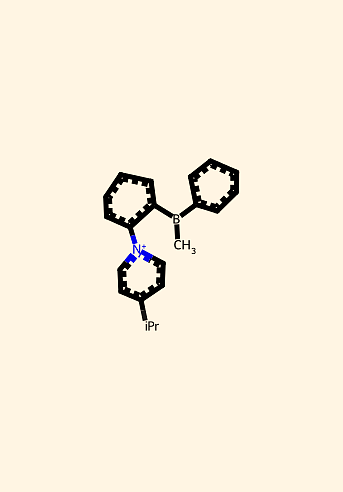 CB(c1ccccc1)c1ccccc1-[n+]1ccc(C(C)C)cc1